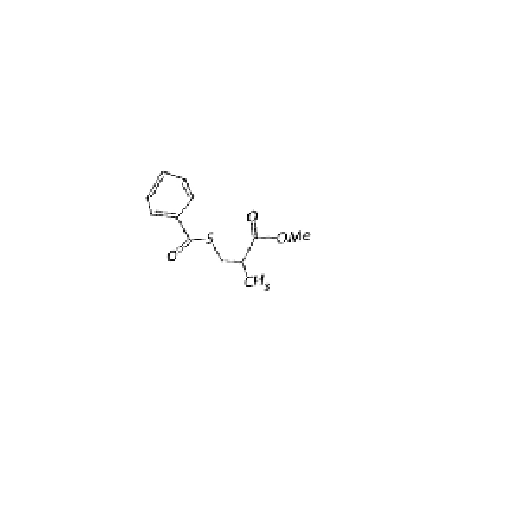 COC(=O)C(C)CSC(=O)c1ccccc1